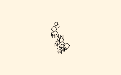 O=[SH]1(c2ncn3c(NCc4c(F)ccc5c4CCO5)ncc(-c4ccccc4)c23)CCCCN1